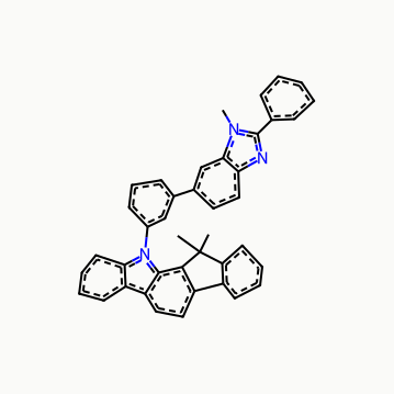 Cn1c(-c2ccccc2)nc2ccc(-c3cccc(-n4c5ccccc5c5ccc6c(c54)C(C)(C)c4ccccc4-6)c3)cc21